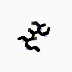 C=C/C=C\C(=C/C)NC(=O)C(/C=C\C)=C(/C)O